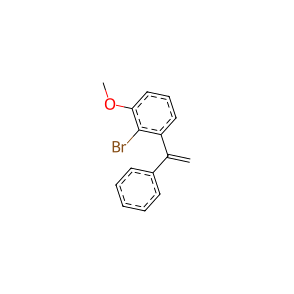 C=C(c1ccccc1)c1cccc(OC)c1Br